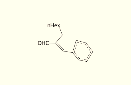 CCCCCCCC(C=O)=Cc1ccccc1